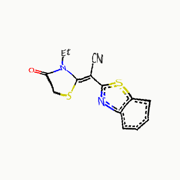 CCN1C(=O)CSC1=C(C#N)c1nc2ccccc2s1